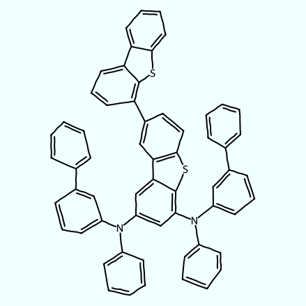 c1ccc(-c2cccc(N(c3ccccc3)c3cc(N(c4ccccc4)c4cccc(-c5ccccc5)c4)c4sc5ccc(-c6cccc7c6sc6ccccc67)cc5c4c3)c2)cc1